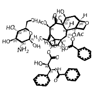 CC(=O)O[C@H]1C(=O)[C@@]2(C)[C@H]([C@H](OC(=O)c3ccccc3)[C@]3(O)C[C@H](OC(=O)[C@H](O)[C@@H](NC(=O)c4ccccc4)c4ccccc4)C(C)=C1C3(C)C)[C@]1(OC(C)=O)CO[C@@H]1C[C@@H]2O.N[C@@H]1[C@@H](O)[C@H](O)[C@@H](CO)O[C@H]1O